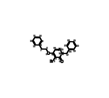 O=c1c(Br)c(OCCc2ccccc2)cnn1Cc1ccccc1